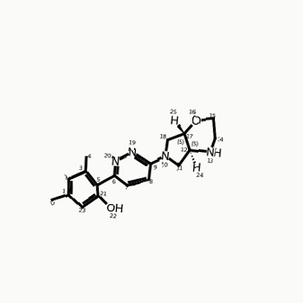 Cc1cc(C)c(-c2ccc(N3C[C@@H]4NCCO[C@H]4C3)nn2)c(O)c1